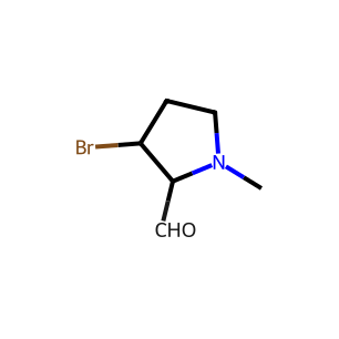 CN1CCC(Br)C1C=O